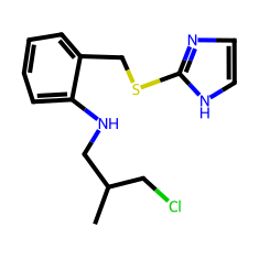 CC(CCl)CNc1ccccc1CSc1ncc[nH]1